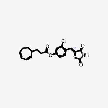 O=C(CCC1C=CC=CCC1)Oc1ccc(/C=C2\SC(=O)NC2=O)c(Cl)c1